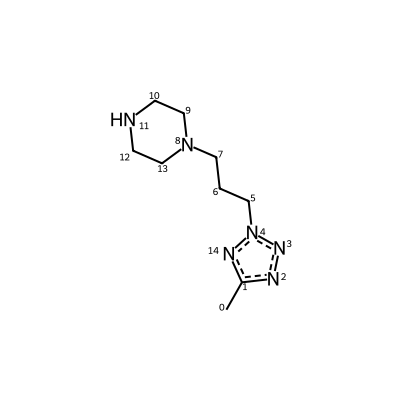 Cc1nnn(CCCN2CCNCC2)n1